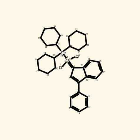 [Cl][Ru-3]([Cl])(=[C]1C=C(c2ccccc2)c2ccccc21)[PH](C1CCCCC1)(C1CCCCC1)C1CCCCC1